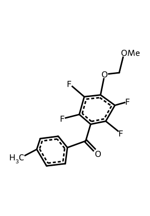 COCOc1c(F)c(F)c(C(=O)c2ccc(C)cc2)c(F)c1F